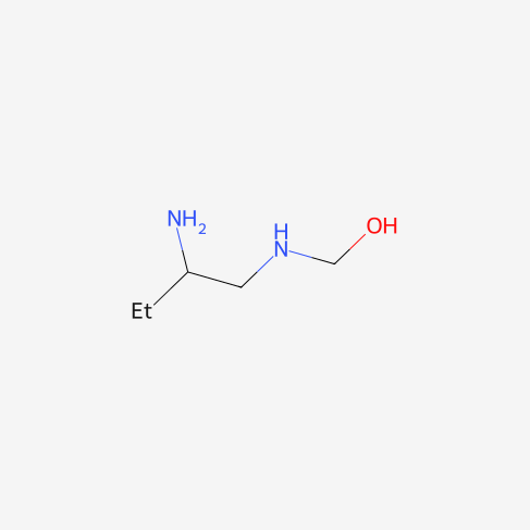 CCC(N)CNCO